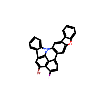 Brc1cc2c3ccccc3n3c4cc5c(cc4c4ccc(I)c1c4c23)oc1ccccc15